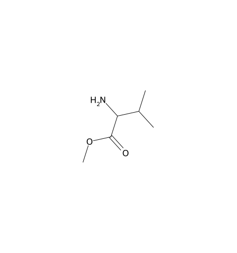 COC(=O)C(N)C(C)C